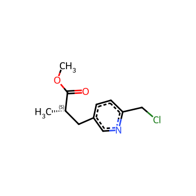 COC(=O)[C@@H](C)Cc1ccc(CCl)nc1